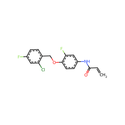 C=CC(=O)Nc1ccc(OCc2ccc(F)cc2Cl)c(F)c1